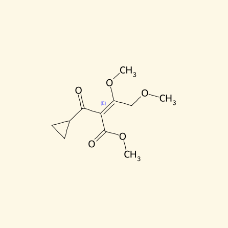 COC/C(OC)=C(\C(=O)OC)C(=O)C1CC1